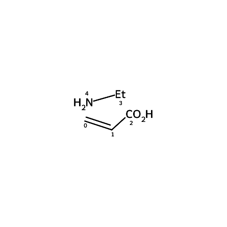 C=CC(=O)O.CCN